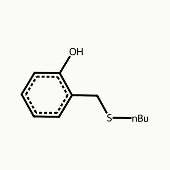 CCCCSCc1ccccc1O